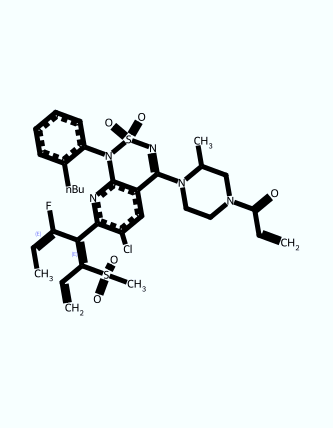 C=CC(=O)N1CCN(C2=NS(=O)(=O)N(c3ccccc3CCCC)c3nc(C(/C(F)=C\C)=C(/C=C)S(C)(=O)=O)c(Cl)cc32)C(C)C1